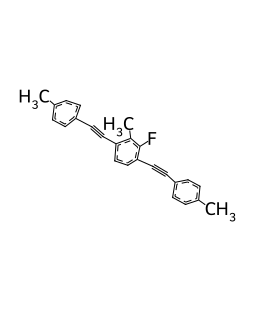 Cc1ccc(C#Cc2ccc(C#Cc3ccc(C)cc3)c(F)c2C)cc1